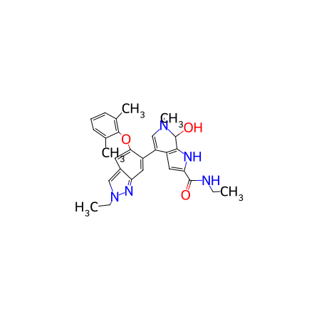 CCNC(=O)c1cc2c([nH]1)C(O)N(C)C=C2c1cc2nn(CC)cc2cc1Oc1c(C)cccc1C